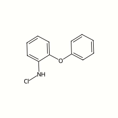 ClNc1ccccc1Oc1ccccc1